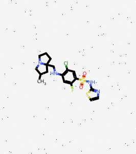 CC1CN2CCCC2(CNc2cc(F)c(S(=O)(=O)Nc3nccs3)cc2Cl)C1